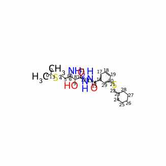 CC(C)SCC[C@@H](N)C(O)C(=O)NNC(=O)c1cccc(SCC2CCCCC2)c1